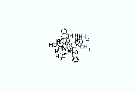 COc1cc(N(C(=O)Cc2ccccc2)[C@@H](CC(C)C)C(=O)N[C@@H](CC(=O)O)C(=O)N[C@@H](Cc2ccccc2)C(=O)O)ccc1NC(N)=O